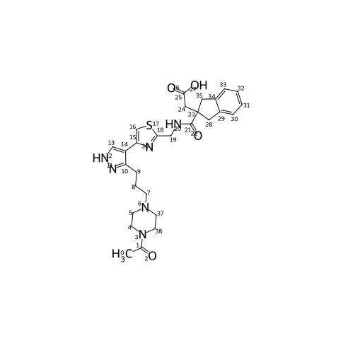 CC(=O)N1CCN(CCCc2n[nH]cc2-c2csc(CNC(=O)C3(CC(=O)O)Cc4ccccc4C3)n2)CC1